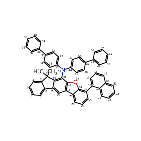 CC1(C)c2ccccc2-c2cc3c(oc4c(-c5cccc6ccccc56)cccc43)c(N(c3ccc(-c4ccccc4)cc3)c3ccc(-c4ccccc4)cc3)c21